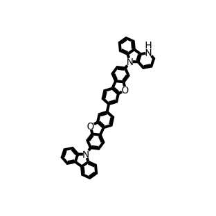 C1=Cc2c(c3ccccc3n2-c2ccc3c(c2)oc2cc(-c4ccc5c(c4)oc4cc(-n6c7ccccc7c7ccccc76)ccc45)ccc23)NC1